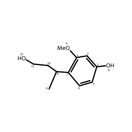 COc1cc(O)ccc1C(C)CCO